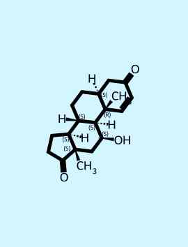 C[C@]12C=CC(=O)C[C@@H]1CC[C@@H]1[C@@H]2[C@@H](O)C[C@]2(C)C(=O)CC[C@@H]12